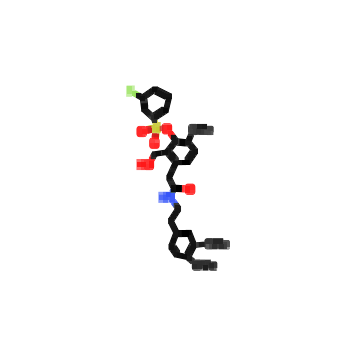 COc1ccc(CCNC(=O)Cc2ccc(OC)c(OS(=O)(=O)c3cccc(F)c3)c2CO)cc1OC